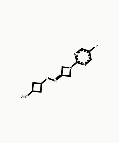 CC(=O)OC1CC(ON=C2CN(c3ncc(Br)cn3)C2)C1